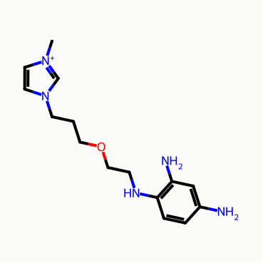 C[n+]1ccn(CCCOCCNc2ccc(N)cc2N)c1